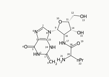 C=C1NC(=O)c2ncn([C@@H]3O[C@H](CO)[C@H](O)C3NC(=O)C(N)CCC)c2N1